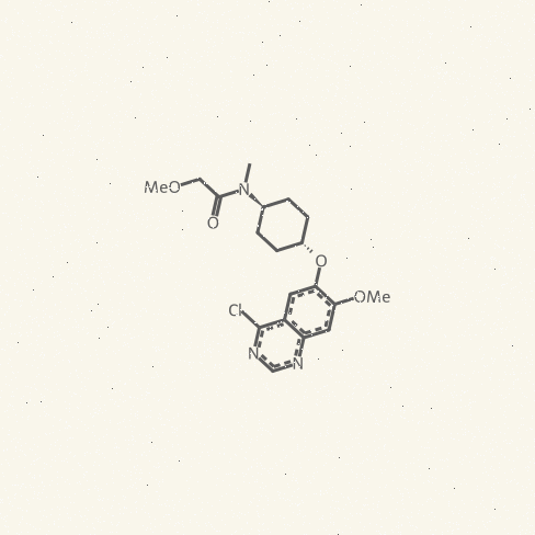 COCC(=O)N(C)[C@H]1CC[C@H](Oc2cc3c(Cl)ncnc3cc2OC)CC1